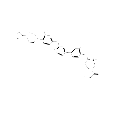 COc1nc(Nc2nccc(-c3ccc(OC4CCN(C(=O)[C@H](N)O)CC4(F)F)c(C#N)c3)n2)ccc1N1CCN(C2COC2)CC1